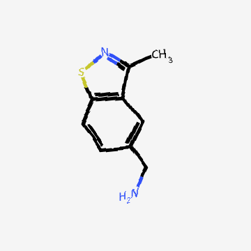 Cc1nsc2ccc(CN)cc12